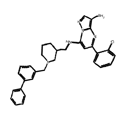 Bc1cnn2c(NCC3CCCN(Cc4cccc(-c5ccccc5)c4)C3)cc(-c3ccccc3Cl)nc12